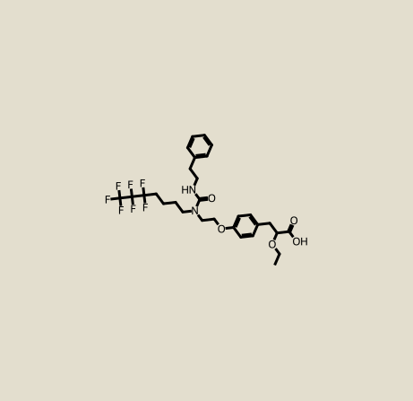 CCOC(Cc1ccc(OCCN(CCCCC(F)(F)C(F)(F)C(F)(F)F)C(=O)NCCc2ccccc2)cc1)C(=O)O